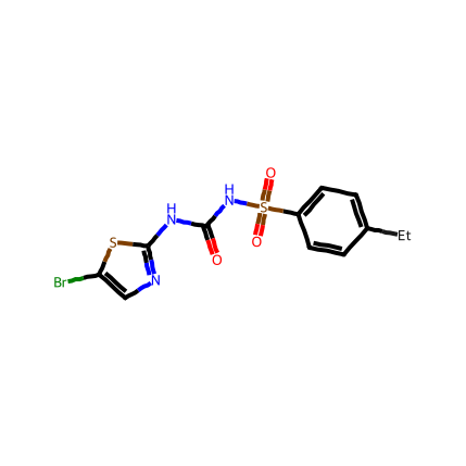 CCc1ccc(S(=O)(=O)NC(=O)Nc2ncc(Br)s2)cc1